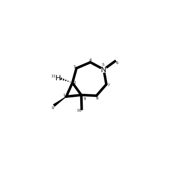 C[C@H]1[C@H]2CCN(C)CCC21C